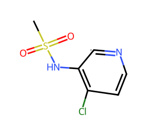 CS(=O)(=O)Nc1[c]nccc1Cl